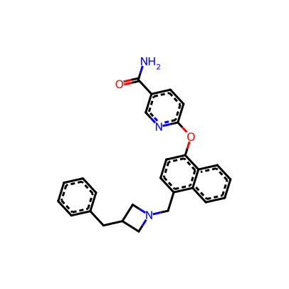 NC(=O)c1ccc(Oc2ccc(CN3CC(Cc4ccccc4)C3)c3ccccc23)nc1